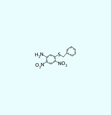 Nc1cc(SCc2ccccc2)c([N+](=O)[O-])cc1[N+](=O)[O-]